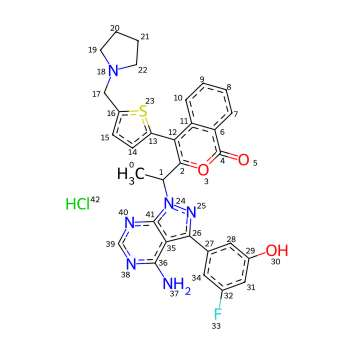 CC(c1oc(=O)c2ccccc2c1-c1ccc(CN2CCCC2)s1)n1nc(-c2cc(O)cc(F)c2)c2c(N)ncnc21.Cl